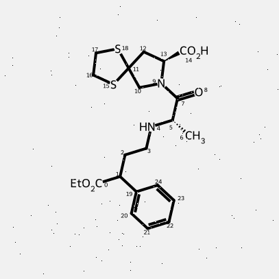 CCOC(=O)C(CCN[C@@H](C)C(=O)N1CC2(C[C@H]1C(=O)O)SCCS2)c1ccccc1